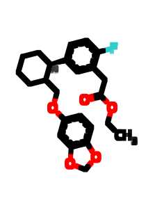 CCOC(=O)Cc1cc([C@@H]2CCCCC2COc2ccc3c(c2)OCO3)ccc1F